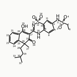 CCS(=O)(=O)Nc1ccc2c(c1)S(=O)(=O)N=C(C1=C(O)c3ccccc3C(C)(CCC(C)C)C1=O)N2